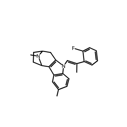 C/C(=C\n1c2c(c3cc(C)ccc31)C1CCC(C2)N1C)c1ccccc1F